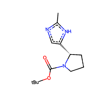 Cc1ncc([C@@H]2CCCN2C(=O)OC(C)(C)C)[nH]1